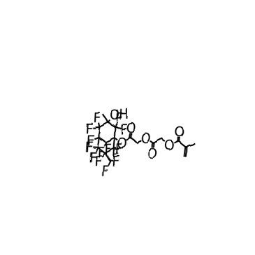 C=C(C)C(=O)OCC(=O)OCC(=O)OC12C(F)(F)C(C)(O)C(F)(F)C(F)(C(F)(F)C(F)(C(F)F)C1(F)F)C2(F)F